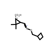 CC1(C)C(/C=N/OCC2CCC2)[C@H]1C(=O)O